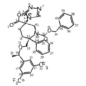 COC(=O)[C@@]1(n2cnnc2)CC[C@@](CO[C@H](C)c2cc(C(F)(F)F)cc(C(F)(F)F)c2)(c2ccccc2)N(C(=O)OCc2ccccc2)C1